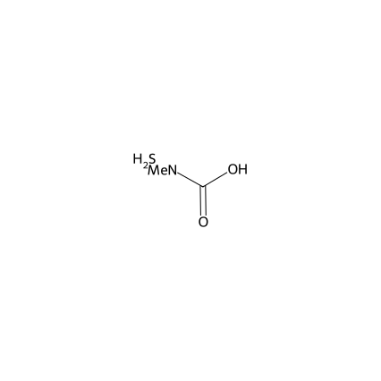 CNC(=O)O.S